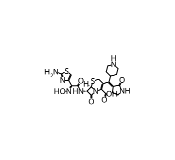 Nc1nc(C(=NO)C(=O)N[C@@H]2C(=O)N3C(C(=O)O)=C(C(=C4CCNC4=O)C4CCNCC4)CS[C@H]23)cs1